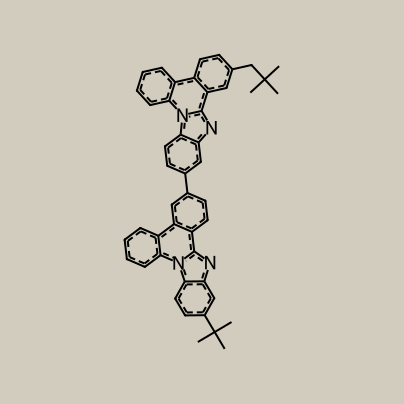 CC(C)(C)Cc1ccc2c3ccccc3n3c4ccc(-c5ccc6c(c5)c5ccccc5n5c7ccc(C(C)(C)C)cc7nc65)cc4nc3c2c1